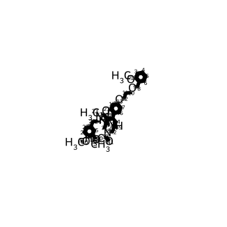 COc1ccccc1COCCCOc1ccc(C2=C(C(=O)N(C)CCc3ccc(OC)c(OC)c3)[C@H]3CN(C(C)=O)C[C@@H](C2)N3)cc1